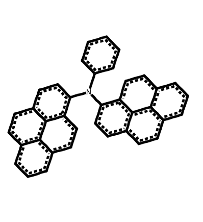 c1ccc(N(c2ccc3ccc4cccc5ccc2c3c45)c2ccc3ccc4cccc5ccc2c3c45)cc1